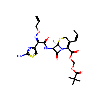 C=CCO/N=C(\C(=O)N[C@@H]1C(=O)N2C(C(=O)OCOC(=O)C(C)(C)C)=C(/C=C\C)CS[C@H]12)c1csc(N)n1